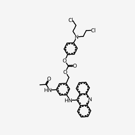 CC(=O)Nc1cc(COC(=O)Oc2ccc(N(CCCl)CCCl)cc2)cc(Nc2c3ccccc3nc3ccccc23)c1